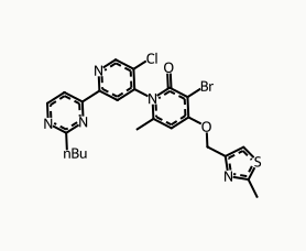 CCCCc1nccc(-c2cc(-n3c(C)cc(OCc4csc(C)n4)c(Br)c3=O)c(Cl)cn2)n1